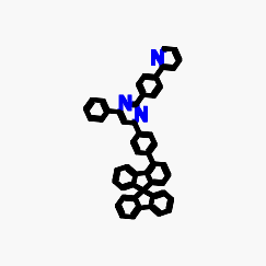 c1ccc(-c2cc(-c3ccc(-c4cccc5c4-c4ccccc4C54c5ccccc5-c5ccccc54)cc3)nc(-c3ccc(-c4ccccn4)cc3)n2)cc1